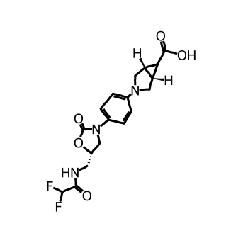 O=C(NC[C@H]1CN(c2ccc(N3C[C@@H]4C(C(=O)O)[C@@H]4C3)cc2)C(=O)O1)C(F)F